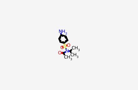 CC(=O)N(C(C)C)S(=O)(=O)c1ccc(N)cc1